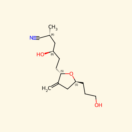 C=C1C[C@H](CCCO)O[C@H]1CC[C@@H](O)C[C@@H](C)C#N